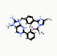 CC(I)n1cc(C(F)(F)F)nc1-c1ccc(Cn2c(=N)n(C)c3cnc(-c4ccccc4C(F)(F)F)nc32)cc1